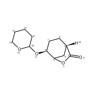 O=C1OC2C[C@@H]1CC[C@@H]2OC1CCCCO1